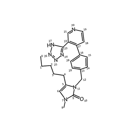 CCCCCc1cn(C)c(=O)n1Cc1ccc(-c2ccncc2-c2nnn[nH]2)cc1